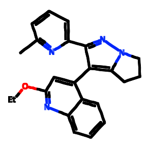 CCOc1cc(-c2c(-c3cccc(C)n3)nn3c2CCC3)c2ccccc2n1